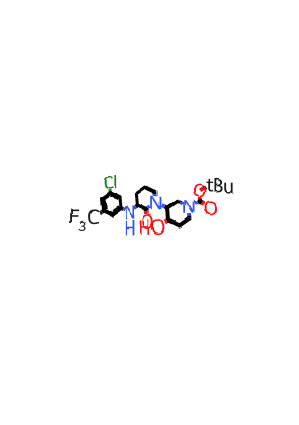 CC(C)(C)OC(=O)N1CCC(O)C(N2CCCC(Nc3cc(Cl)cc(C(F)(F)F)c3)C2=O)C1